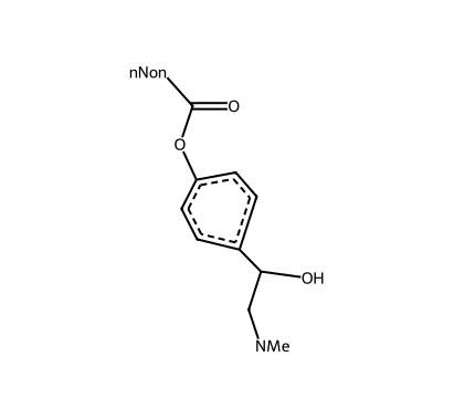 CCCCCCCCCC(=O)Oc1ccc(C(O)CNC)cc1